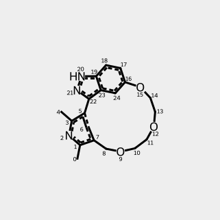 Cc1nc(C)c2cc1COCCOCCOc1ccc3[nH]nc-2c3c1